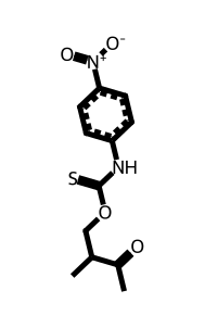 CC(=O)C(C)COC(=S)Nc1ccc([N+](=O)[O-])cc1